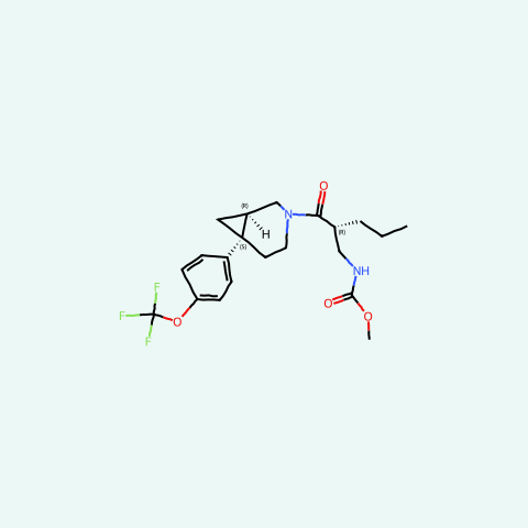 CCC[C@H](CNC(=O)OC)C(=O)N1CC[C@@]2(c3ccc(OC(F)(F)F)cc3)C[C@H]2C1